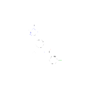 Cc1cc(-c2nc(C(F)(F)F)n(C)n2)ccc1NC(=O)c1cccc(Cl)c1C(=O)O